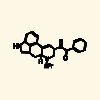 CCCN1CC(NC(=O)c2ccccc2)C=C2c3cccc4[nH]cc(c34)C[C@H]21